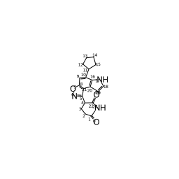 O=C1CCC(c2noc3cc(C4CCCC4)c4[nH]ccc4c23)C(=O)N1